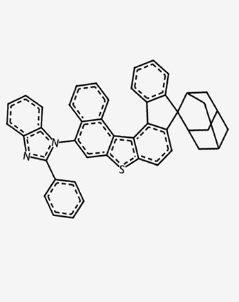 c1ccc(-c2nc3ccccc3n2-c2cc3sc4ccc5c(c4c3c3ccccc23)-c2ccccc2C52C3CC4CC(C3)CC2C4)cc1